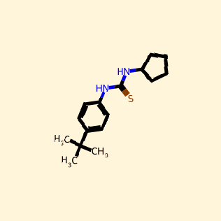 CC(C)(C)c1ccc(NC(=S)NC2CCCC2)cc1